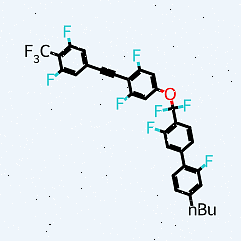 CCCCc1ccc(-c2ccc(C(F)(F)Oc3cc(F)c(C#Cc4cc(F)c(C(F)(F)F)c(F)c4)c(F)c3)c(F)c2)c(F)c1